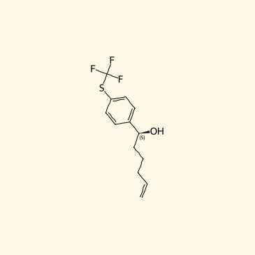 C=CCCC[C@H](O)c1ccc(SC(F)(F)F)cc1